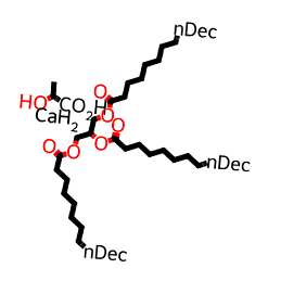 CC(O)C(=O)O.CCCCCCCCCCCCCCCCCC(=O)OCC(COC(=O)CCCCCCCCCCCCCCCCC)OC(=O)CCCCCCCCCCCCCCCCC.[CaH2]